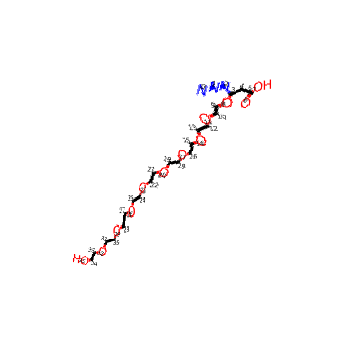 [N-]=[N+]=NC(CC(=O)O)OCCOCCOCCOCCOCCOCCOCCOCCOCCO